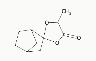 CC1OC2(CC3CCC2C3)OC1=O